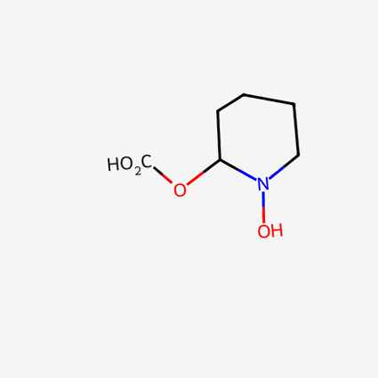 O=C(O)OC1CCCCN1O